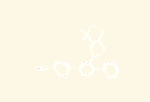 CC1(C)CCSc2ccc(-c3cc(-c4ccc(C(=O)O)cc4)ccc3-c3ccccc3)cc21